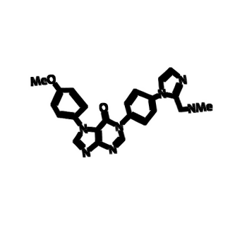 CNCc1nccn1-c1ccc(-n2cnc3ncn(-c4ccc(OC)cc4)c3c2=O)cc1